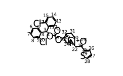 O=C(OC(c1ccccc1Cl)c1ccccc1Cl)OC1C[N+]2(CC(=O)c3cccs3)CCC1CC2